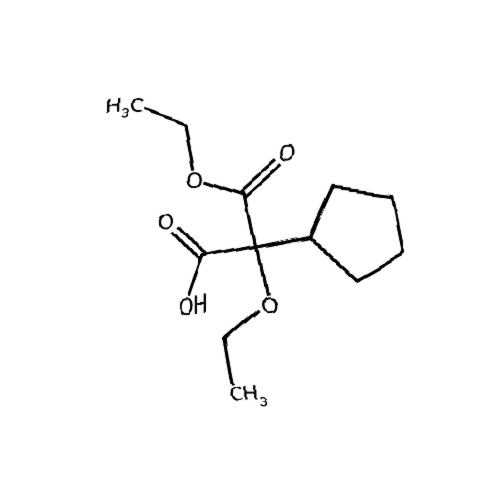 CCOC(=O)C(OCC)(C(=O)O)C1CCCC1